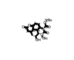 Cc1cc(=O)oc2ccc(N(C(=O)OC(C)(C)C)C(=O)OC(C)(C)C)c(CCO)c12